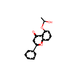 CC(O)Oc1cccc2oc(-c3ccccc3)cc(=O)c12